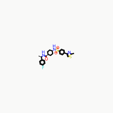 Cc1nc(-c2ccc(S(=O)(=O)N[C@H]3CC[C@H](C(=O)N[C@H](C)c4ccc(F)cc4)CC3)cc2)cs1